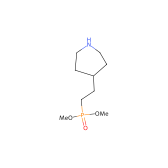 COP(=O)(CCC1CCNCC1)OC